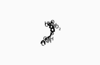 O=C1NC(=O)C(=Cc2cc(OCCCNC(=O)NC3CCCCC3)ccc2[N+](=O)[O-])N1